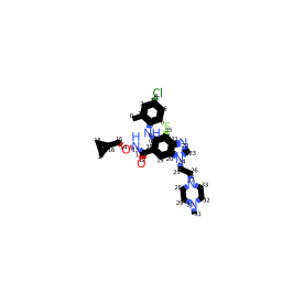 Cc1cc(Cl)ccc1Nc1c(C(=O)NOCC2CC2)cc2c(ncn2CCN2CCN(C)CC2)c1F